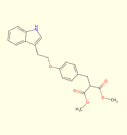 COC(=O)C(Cc1ccc(OCCc2c[nH]c3ccccc23)cc1)C(=O)OC